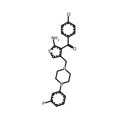 Nc1scc(CN2CCN(c3cccc(F)c3)CC2)c1C(=O)c1ccc(Cl)cc1